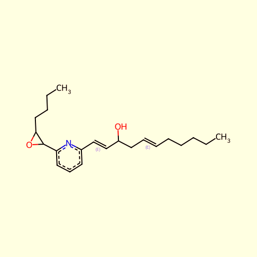 CCCCC/C=C/CC(O)/C=C/c1cccc(C2OC2CCCC)n1